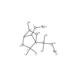 [3H]OC1C2OC(C)(C)C1(C(C)(C)O[3H])OC2C